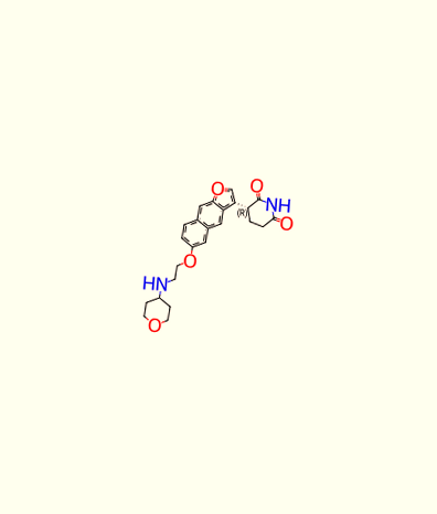 O=C1CC[C@H](c2coc3cc4ccc(OCCNC5CCOCC5)cc4cc23)C(=O)N1